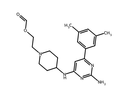 Cc1cc(C)cc(-c2cc(NC3CCN(CCOC=O)CC3)nc(N)n2)c1